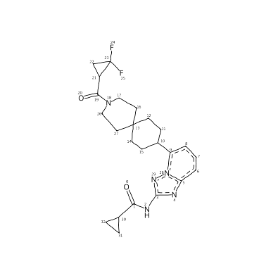 O=C(Nc1nc2cccc(C3CCC4(CC3)CCN(C(=O)C3CC3(F)F)CC4)n2n1)C1CC1